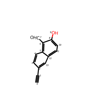 C#Cc1ccc2c(C=O)c(O)ccc2c1